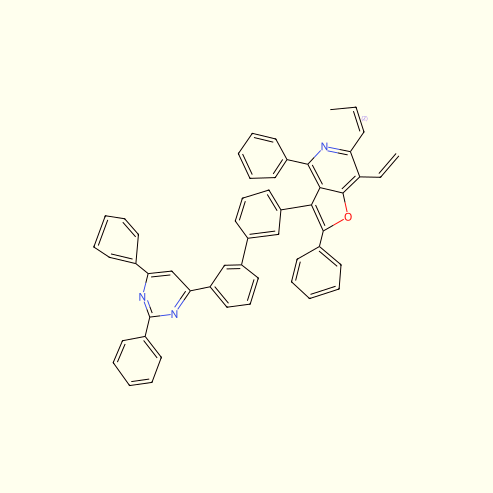 C=Cc1c(/C=C\C)nc(-c2ccccc2)c2c(-c3cccc(-c4cccc(-c5cc(-c6ccccc6)nc(-c6ccccc6)n5)c4)c3)c(-c3ccccc3)oc12